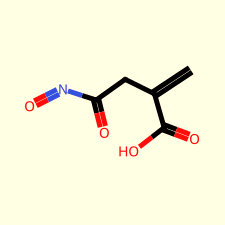 C=C(CC(=O)N=O)C(=O)O